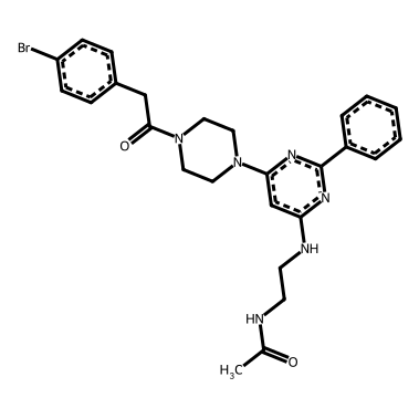 CC(=O)NCCNc1cc(N2CCN(C(=O)Cc3ccc(Br)cc3)CC2)nc(-c2ccccc2)n1